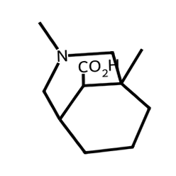 CN1CC2CCCC(C)(C1)C2C(=O)O